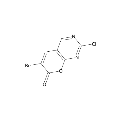 O=c1oc2nc(Cl)ncc2cc1Br